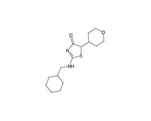 O=C1N=C(NCC2CCCCC2)SC1C1CCOCC1